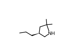 CCC[C@@H]1CNC(C)(C)C1